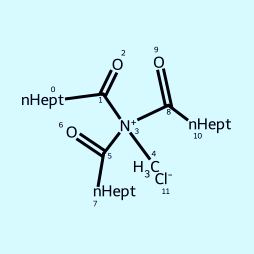 CCCCCCCC(=O)[N+](C)(C(=O)CCCCCCC)C(=O)CCCCCCC.[Cl-]